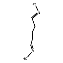 O/N=C/CCC/C=N/O